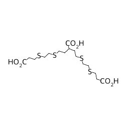 O=C(O)CCSCCSCCC(CCSCCSCCC(=O)O)C(=O)O